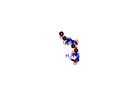 C=CC(=O)N1CC(Cn2cc(C(N)=O)c(-c3ccc(Oc4ccccc4)cc3)n2)CC1c1cccc(Oc2ccc(-c3nn(CC4CCN(C(=O)C#CC)C4)cc3C(N)=O)cc2)c1